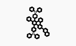 C1=C(c2c(-c3ccccc3)cc(-c3ccc(N(c4ccccc4)c4ccccc4)cc3)c3c4ccc(-c5ccc6ccccc6c5)cc4c4ccccc4c23)CCC(N(c2ccccc2)c2ccccc2)C1